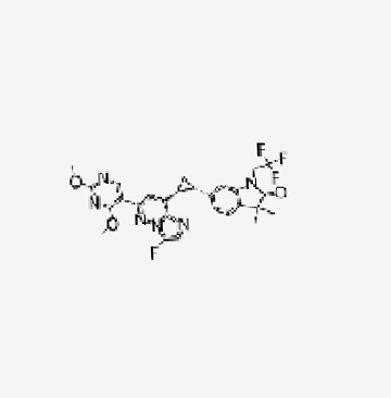 COc1ncc(-c2cc([C@H]3C[C@@H]3c3ccc4c(c3)N(CC(F)(F)F)C(=O)C4(C)C)c3ncc(F)n3n2)c(OC)n1